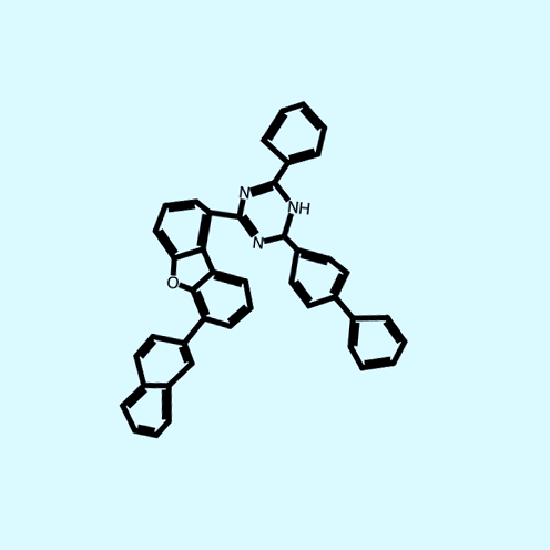 c1ccc(C2=NC(c3cccc4oc5c(-c6ccc7ccccc7c6)cccc5c34)=NC(c3ccc(-c4ccccc4)cc3)N2)cc1